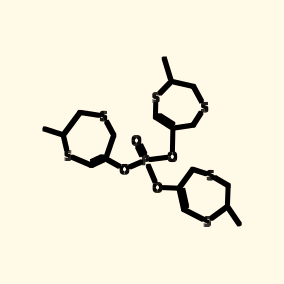 CC1CSCC(OP(=O)(OC2=CSC(C)CSC2)OC2=CSC(C)CSC2)=CS1